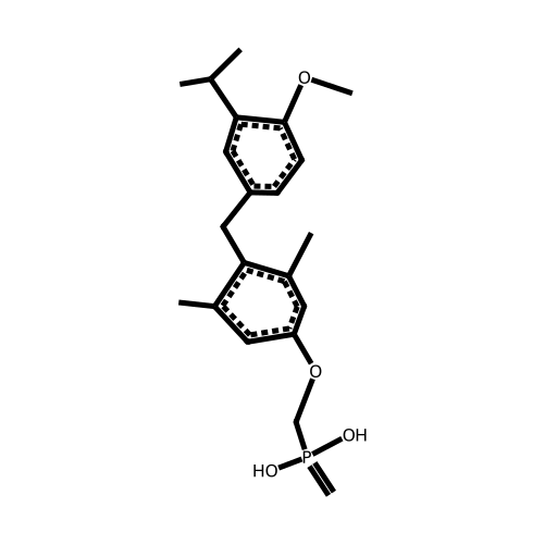 C=P(O)(O)COc1cc(C)c(Cc2ccc(OC)c(C(C)C)c2)c(C)c1